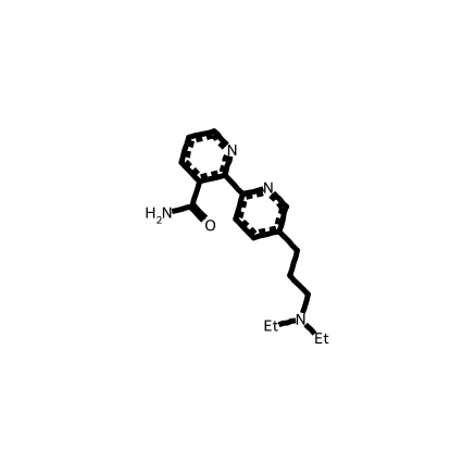 CCN(CC)CCCc1ccc(-c2ncccc2C(N)=O)nc1